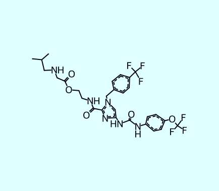 CC(C)CNCC(=O)OCCNC(=O)c1nc(NC(=O)Nc2ccc(OC(F)(F)F)cc2)cn1Cc1ccc(C(F)(F)F)cc1